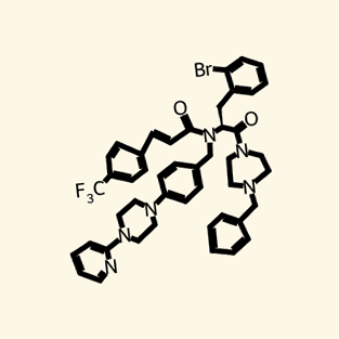 O=C([C@H](Cc1ccccc1Br)N(Cc1ccc(N2CCN(c3ccccn3)CC2)cc1)C(=O)/C=C/c1ccc(C(F)(F)F)cc1)N1CCN(Cc2ccccc2)CC1